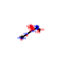 Nc1ncnc2c1c(CCCCC(NC(=O)CCCCCNC(=O)CCCC[C@@H]1SC[C@@H]3NC(=O)N[C@@H]31)OP(=O)(O)OP(=O)(O)OP(=O)(O)O)nn2[C@@H]1C[C@H](O)[C@@H](CO)O1